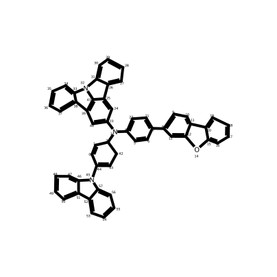 C1=CC(N(c2ccc(-c3ccc4c(c3)oc3ccccc34)cc2)c2cc3c4ccccc4n4c5ccccc5c(c2)c34)CC=C1n1c2ccccc2c2ccccc21